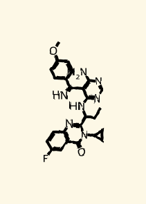 CCC(Nc1ncnc(N)c1C(=N)c1ccc(OC)cc1)c1nc2ccc(F)cc2c(=O)n1C1CC1